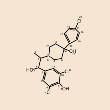 CC(C(O)c1cc(Cl)c(O)c(Cl)c1)N1CCC(O)(c2ccc(Cl)cc2)CC1